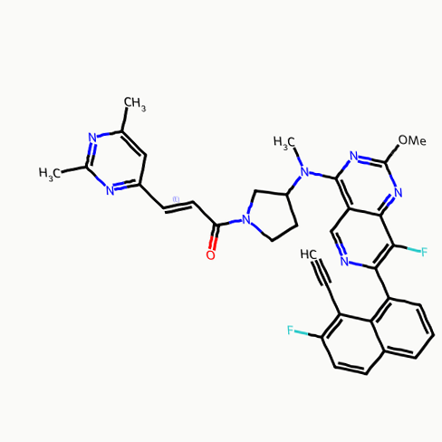 C#Cc1c(F)ccc2cccc(-c3ncc4c(N(C)C5CCN(C(=O)/C=C/c6cc(C)nc(C)n6)C5)nc(OC)nc4c3F)c12